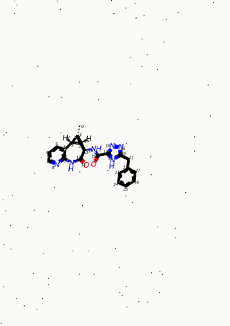 C[C@]12[C@H]3[C@@H]1c1cccnc1NC(=O)[C@]32NC(=O)c1nnc(Cc2ccccc2)[nH]1